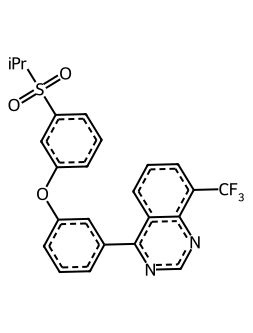 CC(C)S(=O)(=O)c1cccc(Oc2cccc(-c3ncnc4c(C(F)(F)F)cccc34)c2)c1